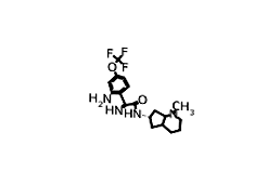 CN1CCCC2C[C@H](NC(=O)C(=N)c3ccc(OC(F)(F)F)cc3N)CC21